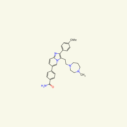 COc1ccc(-c2nc3ccc(-c4ccc(C(N)=O)cc4)cn3c2CCN2CCCN(C)CC2)cc1